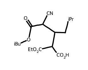 CCOC(=O)C(C(=O)O)C(CC(C)C)C(C#N)C(=O)OC(C)CC